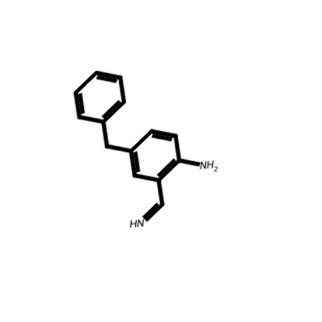 N=Cc1cc(Cc2ccccc2)ccc1N